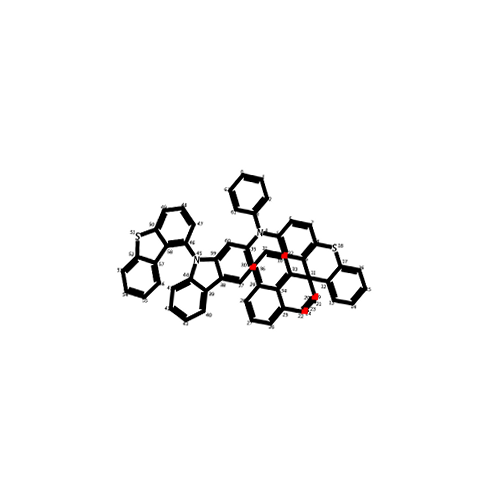 c1ccc(N(c2ccc3c(c2)C2(c4ccccc4S3)c3ccccc3-c3cccc4cccc2c34)c2ccc3c4ccccc4n(-c4cccc5sc6ccccc6c45)c3c2)cc1